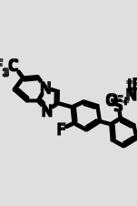 CC(C)(C)N[S+]([O-])c1ccccc1-c1ccc(-c2cn3cc(C(F)(F)F)ccc3n2)c(F)c1